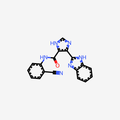 N#Cc1ccccc1NC(=O)c1[nH]cnc1-c1nc2ccccc2[nH]1